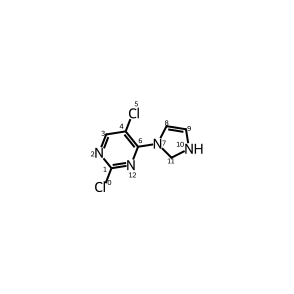 Clc1ncc(Cl)c(N2C=CNC2)n1